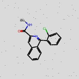 CC[C@H](C)NC(=O)c1cc2ccccc2c(-c2ccccc2Cl)n1